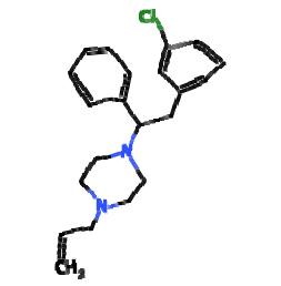 C=CCN1CCN(C(Cc2cccc(Cl)c2)c2ccccc2)CC1